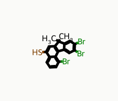 CC1(C)c2cc(Br)c(Br)cc2-c2c1cc(S)c1cccc(Br)c21